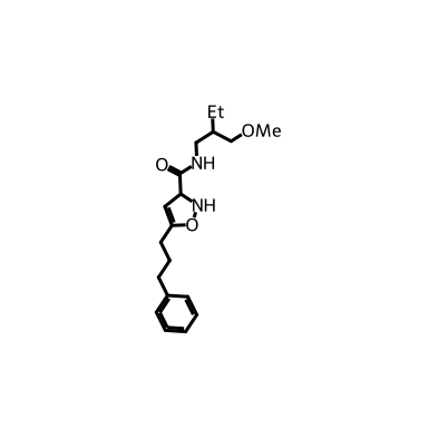 CCC(CNC(=O)C1C=C(CCCC2=C=C=CC=C2)ON1)COC